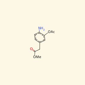 COC(=O)Cc1ccc(N)c(OC(C)=O)c1